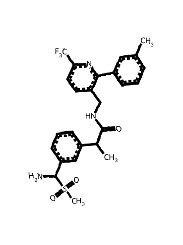 Cc1cccc(-c2nc(C(F)(F)F)ccc2CNC(=O)C(C)c2cccc(C(N)S(C)(=O)=O)c2)c1